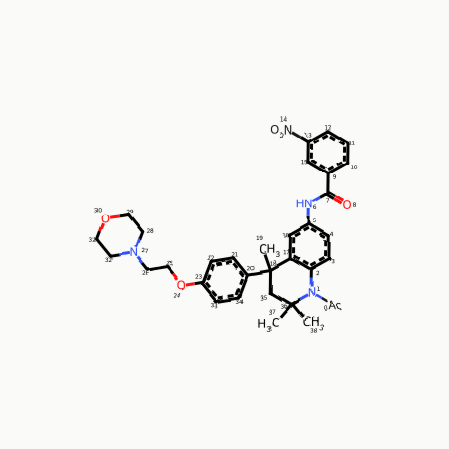 CC(=O)N1c2ccc(NC(=O)c3cccc([N+](=O)[O-])c3)cc2C(C)(c2ccc(OCCN3CCOCC3)cc2)CC1(C)C